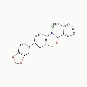 O=C(O)c1ccccc1C(=O)N(Cl)c1ccc(-c2ccc3c(c2)OCO3)cc1F